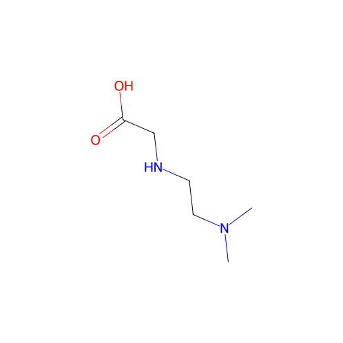 CN(C)CCNCC(=O)O